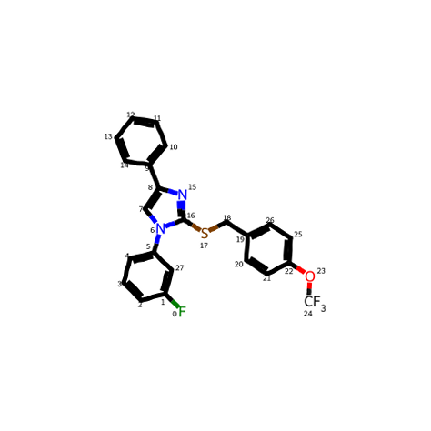 Fc1cccc(-n2cc(-c3ccccc3)nc2SCc2ccc(OC(F)(F)F)cc2)c1